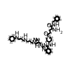 N[C@H](CCC(=O)N1CCC(Nc2nc(NCc3cn(CCCNCCCNC4CCCCC4)nn3)nc3ccccc23)CC1)C(=O)NCc1ccccc1